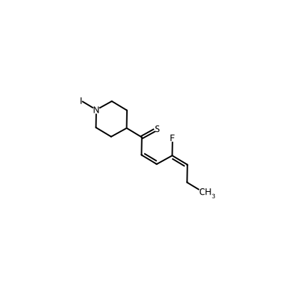 CC/C=C(F)\C=C/C(=S)C1CCN(I)CC1